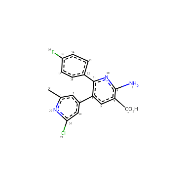 Cc1cc(-c2cc(C(=O)O)c(N)nc2-c2ccc(F)cc2)cc(Cl)n1